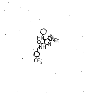 CCn1ncc2c(NC3CCCCC3)c(C(=O)NCc3ccc(C(F)(F)F)cc3)cnc21